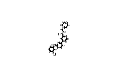 Clc1cccc(Nc2nccc(-c3ccnc(NCCN4CCOCC4)c3)n2)c1